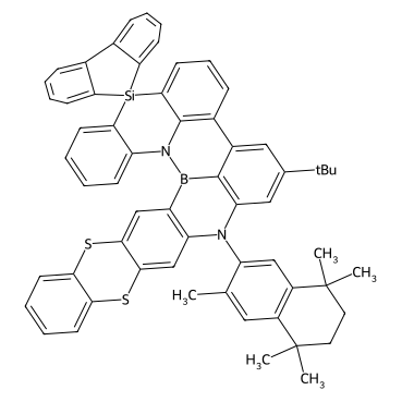 Cc1cc2c(cc1N1c3cc4c(cc3B3c5c(cc(C(C)(C)C)cc51)-c1cccc5c1N3c1ccccc1[Si]51c3ccccc3-c3ccccc31)Sc1ccccc1S4)C(C)(C)CCC2(C)C